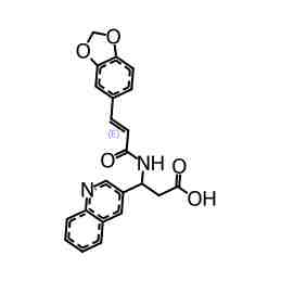 O=C(O)CC(NC(=O)/C=C/c1ccc2c(c1)OCO2)c1cnc2ccccc2c1